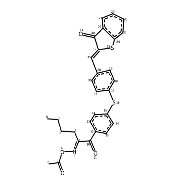 CCCC/C(=N\OC(C)=O)C(=O)c1ccc(Sc2ccc(/C=C3\Sc4ccccc4C3=O)cc2)cc1